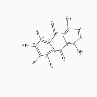 O=C1c2c(O)ccc(O)c2C(=O)c2c(F)c(F)c(F)c(F)c21